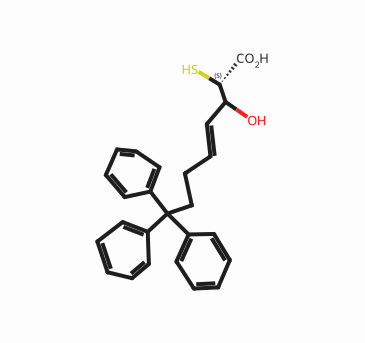 O=C(O)[C@@H](S)C(O)C=CCCC(c1ccccc1)(c1ccccc1)c1ccccc1